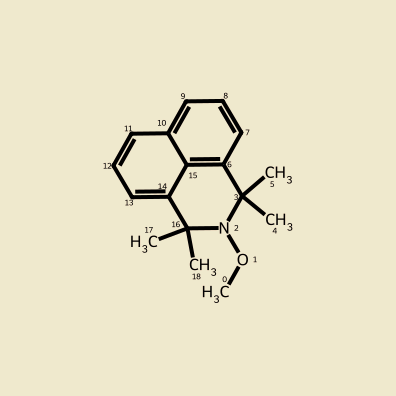 CON1C(C)(C)c2cccc3cccc(c23)C1(C)C